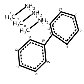 CN.CN.CN.c1ccc(-c2ccccc2)cc1